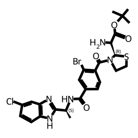 C[C@H](NC(=O)c1ccc(C(=O)N2CCS[C@@H]2C(N)C(=O)OC(C)(C)C)c(Br)c1)c1nc2cc(Cl)ccc2[nH]1